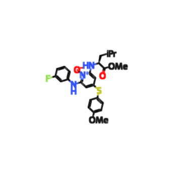 COC(=O)[C@H](CC(C)C)Nc1cc(Sc2ccc(OC)cc2)cc(Nc2cccc(F)c2)[n+]1[O-]